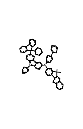 CC1(C)c2cc(N(c3ccc(-c4ccccc4)cc3)c3ccc4c(c3)c3cc(C5(c6ccccc6)c6ccccc6-c6ccccc65)ccc3n4-c3ccccc3)ccc2-c2cc3ccccc3cc21